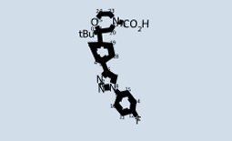 CC(C)(C)C1(c2ccc(-c3cn(-c4ccc(F)cc4)nn3)cc2)CN(C(=O)O)CCO1